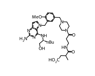 CCCC[C@@H](CO)Nc1nc(N)nc2ccn(Cc3cc(CN4CCN(C(=O)CCNC(=O)C(C)CC(=O)O)CC4)ccc3OC)c12